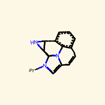 CC(C)N1C=C2C=Cc3cccc4c3N2C1C1NC41